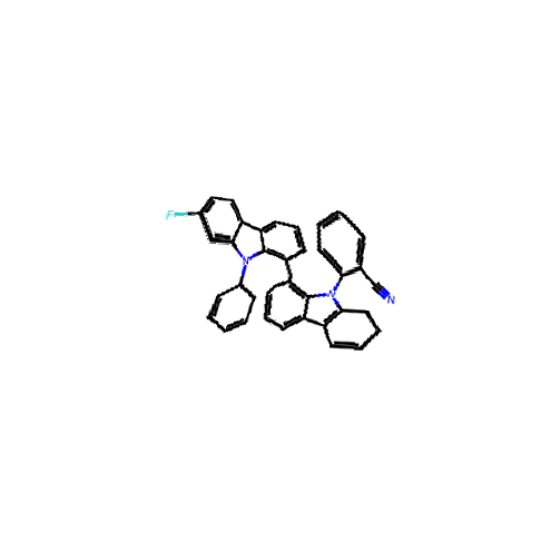 N#Cc1ccccc1-n1c2c(c3cccc(-c4cccc5c6ccc(F)cc6n(C6C=CC=CC6)c45)c31)C=CCC2